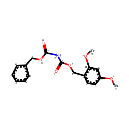 CCC(C)Oc1ccc(COC(=O)NC(=O)OCc2ccccc2)c(OC(C)C)c1